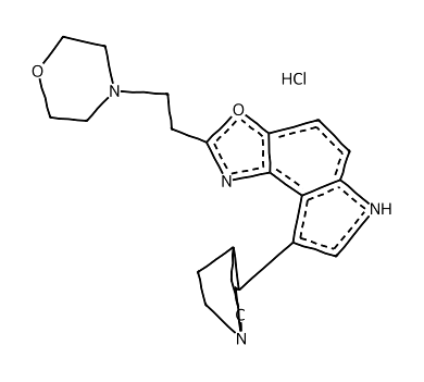 Cl.c1[nH]c2ccc3oc(CCN4CCOCC4)nc3c2c1C1CN2CCC1CC2